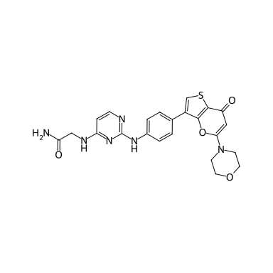 NC(=O)CNc1ccnc(Nc2ccc(-c3csc4c(=O)cc(N5CCOCC5)oc34)cc2)n1